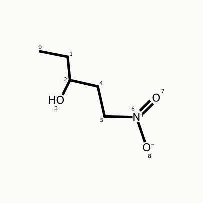 CCC(O)CC[N+](=O)[O-]